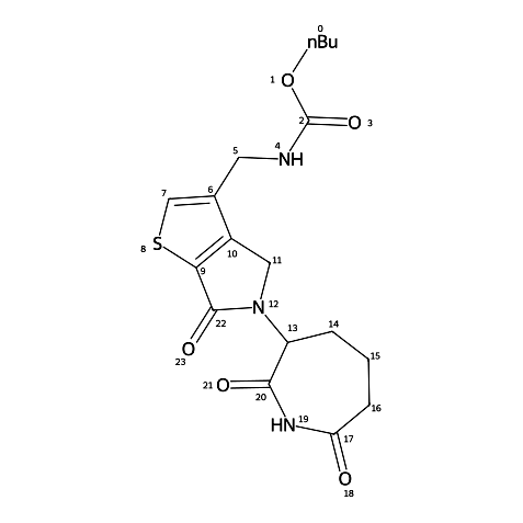 CCCCOC(=O)NCc1csc2c1CN(C1CCCC(=O)NC1=O)C2=O